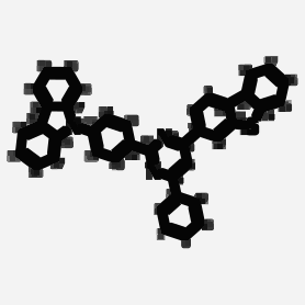 c1ccc(-c2cc(-c3ccc4c(c3)sc3ccccc34)nc(-c3ccc(-n4c5ccccc5c5ccccc54)cc3)n2)cc1